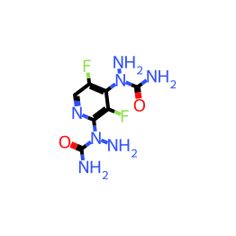 NC(=O)N(N)c1ncc(F)c(N(N)C(N)=O)c1F